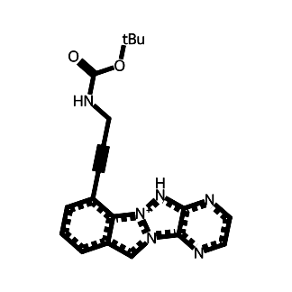 CC(C)(C)OC(=O)NCC#Cc1cccc2cn3c4nccnc4[nH][n+]3c12